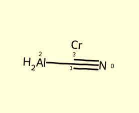 N#[C][AlH2].[Cr]